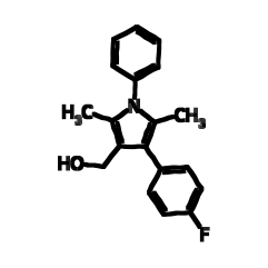 Cc1c(CO)c(-c2ccc(F)cc2)c(C)n1-c1ccccc1